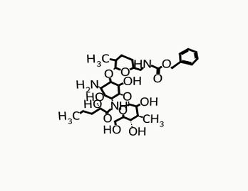 CCC[C@H](O)C(=O)N[C@@H]1C(O)[C@H](N)C(O[C@H]2OC(CNC(=O)OCc3ccccc3)CCC2C)C(O)[C@H]1O[C@H]1OC(CO)[C@@H](O)[C@H](C)C1O